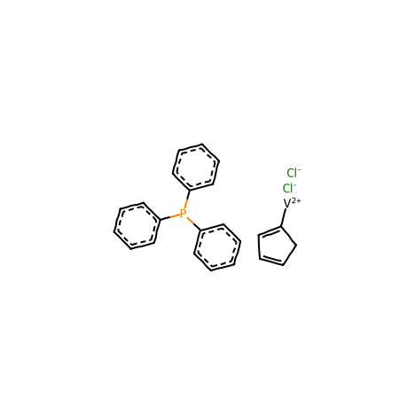 [Cl-].[Cl-].[V+2][C]1=CC=CC1.c1ccc(P(c2ccccc2)c2ccccc2)cc1